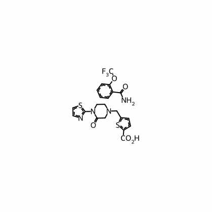 NC(=O)c1ccccc1OC(F)(F)F.O=C(O)c1ccc(CN2CCN(c3nccs3)C(=O)C2)s1